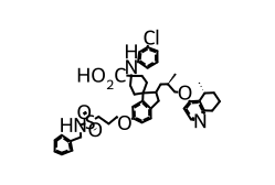 C[C@@H](COc1ccnc2c1[C@H](C)CCC2)CC1Cc2ccc(OCCCS(=O)(=O)NCc3ccccc3)cc2C12CCC(Nc1cccc(Cl)c1)(C(=O)O)CC2